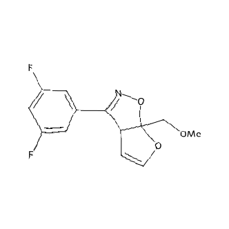 COCC12OC=CC1C(c1cc(F)cc(F)c1)=NO2